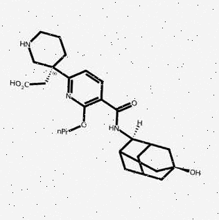 CCCOc1nc([C@]2(CC(=O)O)CCCNC2)ccc1C(=O)N[C@H]1C2CC3CC1C[C@@](O)(C3)C2